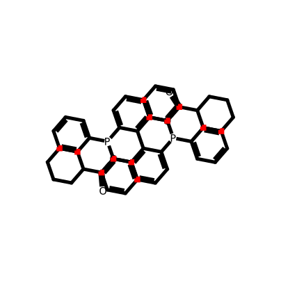 O=C(Oc1cccc(P(c2ccccc2)c2ccccc2)c1-c1c(OC(=O)C2CCCCC2)cccc1P(c1ccccc1)c1ccccc1)C1CCCCC1